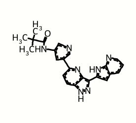 CC(C)(C)C(=O)Nc1cncc(-c2ccc3[nH]nc(-c4cc5cccnc5[nH]4)c3n2)c1